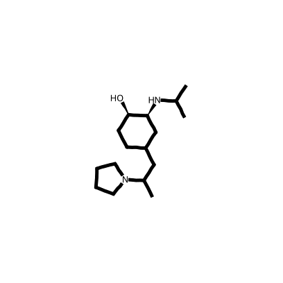 CC(C)N[C@H]1CC(CC(C)N2CCCC2)CC[C@H]1O